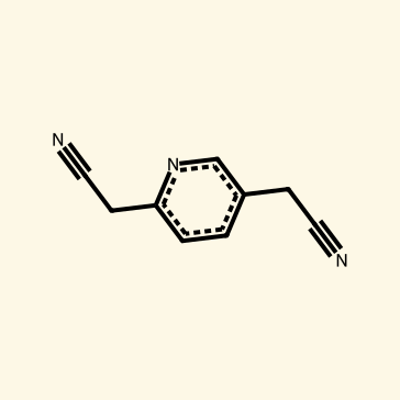 N#CCc1ccc(CC#N)nc1